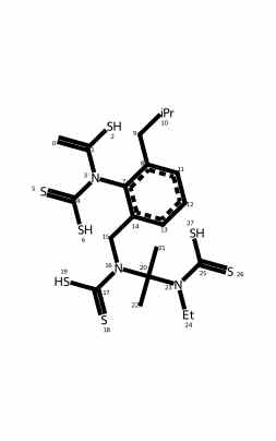 C=C(S)N(C(=S)S)c1c(CC(C)C)cccc1CN(C(=S)S)C(C)(C)N(CC)C(=S)S